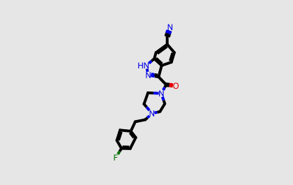 N#Cc1ccc2c(C(=O)N3CCN(CCc4ccc(F)cc4)CC3)n[nH]c2c1